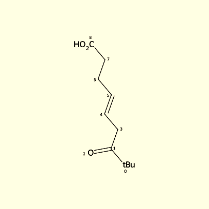 CC(C)(C)C(=O)C/C=C/CCC(=O)O